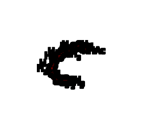 CC(=O)Nc1cn(C)c(C(=O)Nc2cc(C(=O)Nc3cc(C(=O)NCCC(=O)Nc4cn(C)c(C(=O)Nc5cc(C(=O)Nc6cc(C(=O)NCCCC(=O)Cc7cc(C(=O)Cc8cc(C(=O)Cc9cc(C(=O)CCCC(=O)Cc%10cc(C(=O)Cc%11cc(C(=O)CCCC(=O)CCCCN(C)C)n(C)c%11)n(C)c%10)n(C)c9)n(C)c8)n(C)c7)n(C)c6)n(C)c5)n4)n(C)c3)n(C)c2)n1